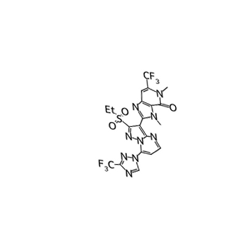 CCS(=O)(=O)c1nn2c(-n3cnc(C(F)(F)F)n3)ccnc2c1-c1nc2cc(C(F)(F)F)n(C)c(=O)c2n1C